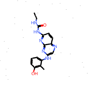 CCNC(=O)Nc1ccc2ncc(Nc3cccc(O)c3C)nc2n1